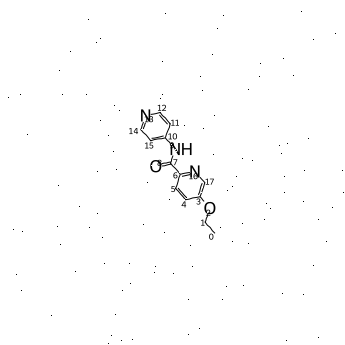 CCOc1ccc(C(=O)Nc2ccncc2)nc1